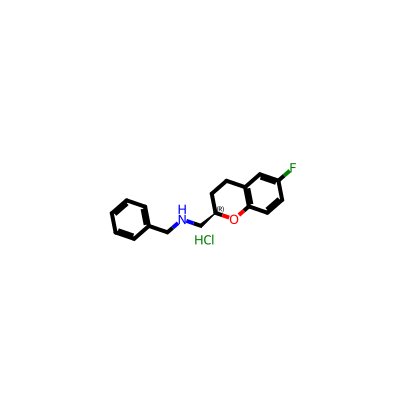 Cl.Fc1ccc2c(c1)CC[C@H](CNCc1ccccc1)O2